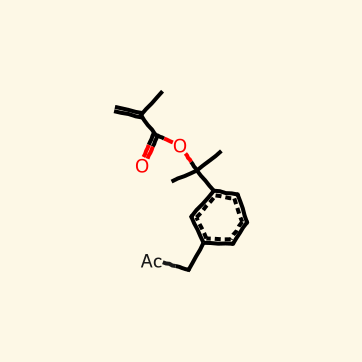 C=C(C)C(=O)OC(C)(C)c1cccc(CC(C)=O)c1